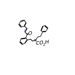 O=C(/C=C/c1ccccc1)c1ccccc1CC[C@@H](CCc1ccccc1)C(=O)O